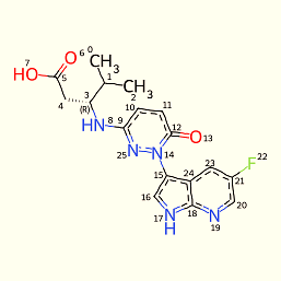 CC(C)[C@@H](CC(=O)O)Nc1ccc(=O)n(-c2c[nH]c3ncc(F)cc23)n1